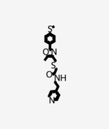 CSc1ccc(-c2nc(CSCC(=O)NCCc3ccncc3)c(C)o2)cc1